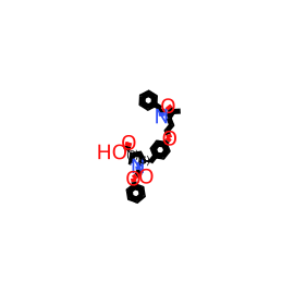 Cc1oc(-c2ccccc2)nc1CCOc1ccc(C[C@@H]2C[C@@H](C(=O)O)CN2C(=O)Oc2ccccc2)cc1